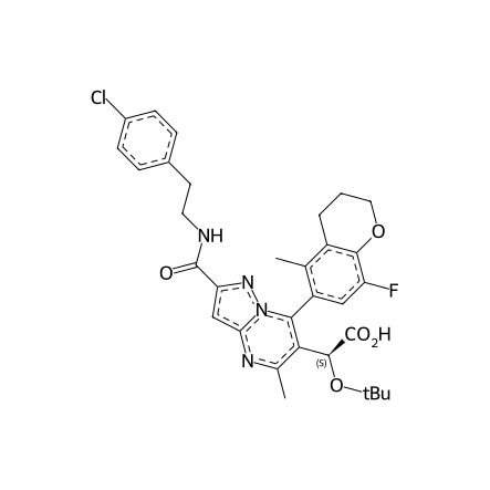 Cc1nc2cc(C(=O)NCCc3ccc(Cl)cc3)nn2c(-c2cc(F)c3c(c2C)CCCO3)c1[C@H](OC(C)(C)C)C(=O)O